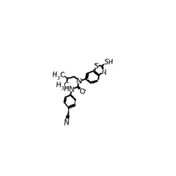 CC(C)CN(C(=O)Nc1ccc(C#N)cc1)c1ccc2nc(S)sc2c1